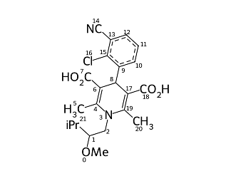 COC(CN1C(C)=C(C(=O)O)C(c2cccc(C#N)c2Cl)C(C(=O)O)=C1C)C(C)C